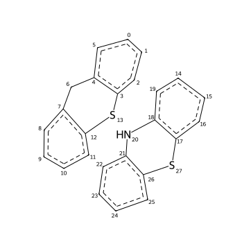 c1ccc2c(c1)Cc1ccccc1S2.c1ccc2c(c1)Nc1ccccc1S2